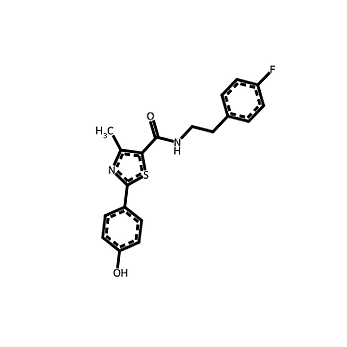 Cc1nc(-c2ccc(O)cc2)sc1C(=O)NCCc1ccc(F)cc1